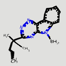 Bn1c2ccccc2c2nnc(C(C)(C)CC)nc21